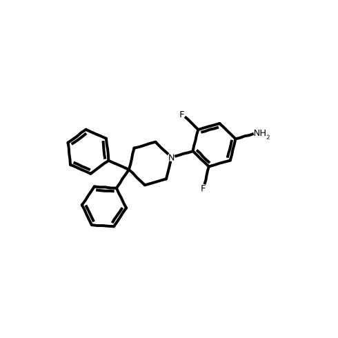 Nc1cc(F)c(N2CCC(c3ccccc3)(c3ccccc3)CC2)c(F)c1